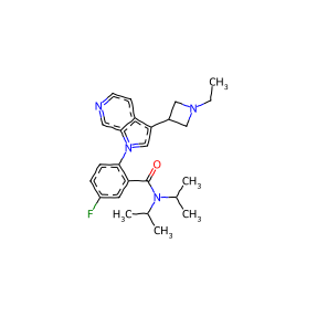 CCN1CC(c2cn(-c3ccc(F)cc3C(=O)N(C(C)C)C(C)C)c3cnccc23)C1